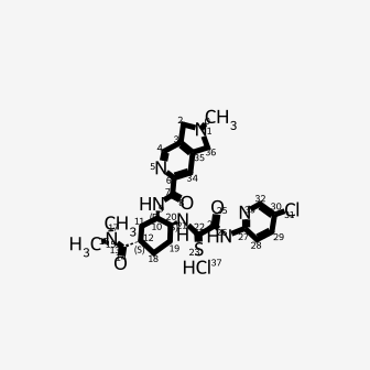 CN1Cc2cnc(C(=O)N[C@@H]3C[C@@H](C(=O)N(C)C)CC[C@@H]3NC(=S)C(=O)Nc3ccc(Cl)cn3)cc2C1.Cl